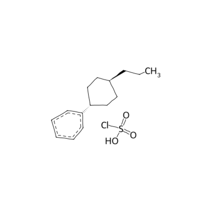 CCC[C@H]1CC[C@H](c2ccccc2)CC1.O=S(=O)(O)Cl